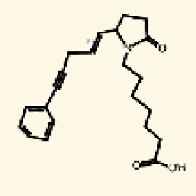 O=C(O)CCCCCCN1C(=O)CCC1/C=C/CC#Cc1ccccc1